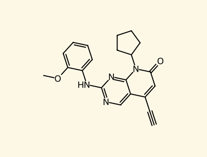 C#Cc1cc(=O)n(C2CCCC2)c2nc(Nc3ccccc3OC)ncc12